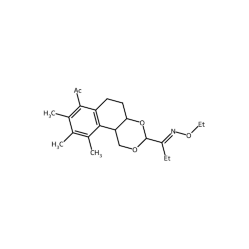 CCON=C(CC)C1OCC2c3c(C)c(C)c(C)c(C(C)=O)c3CCC2O1